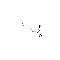 CCCCC[S+]([O-])F